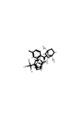 Cc1ccc(C(=O)N2[C@@H]3CC[C@H]2[C@H](Oc2ncc(C(F)(F)F)cn2)C3)c(-n2nccn2)c1